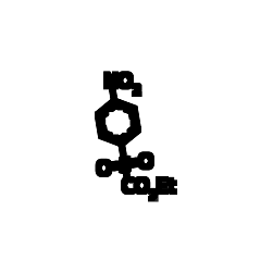 CCOC(=O)S(=O)(=O)c1ccc([N+](=O)[O-])cc1